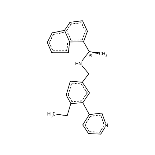 CCc1ccc(CN[C@H](C)c2cccc3ccccc23)cc1-c1cccnc1